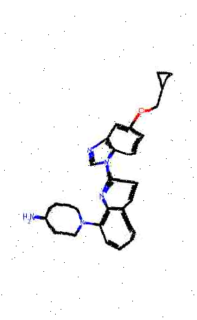 NC1CCN(c2cccc3ccc(-n4cnc5cc(OCC6CC6)ccc54)nc23)CC1